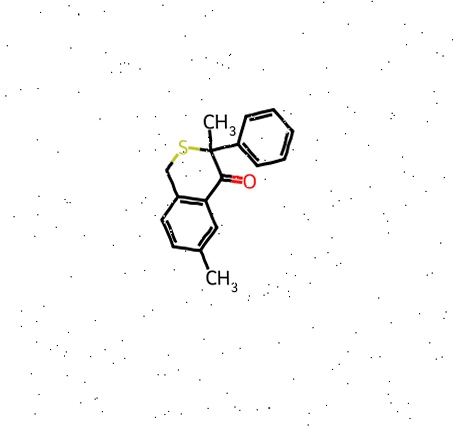 Cc1ccc2c(c1)C(=O)C(C)(c1ccccc1)SC2